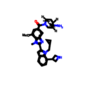 COc1cc(C(=O)N2C[C@H]3CC[C@@H]2C[C@@H]3N)cc2nc(-c3cc4cccc(C5CNC5)c4n3CC3CC3)n(C)c12